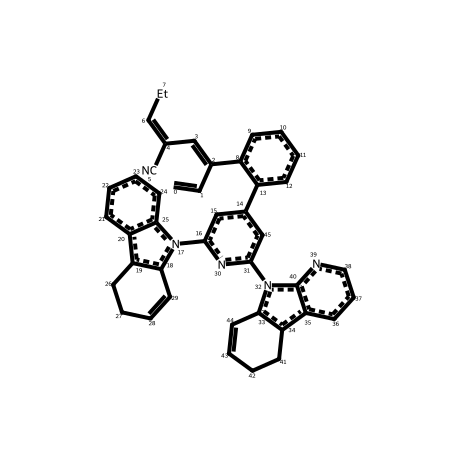 C=C/C(=C\C(C#N)=C/CC)c1ccccc1-c1cc(-n2c3c(c4ccccc42)CCC=C3)nc(-n2c3c(c4cccnc42)CCC=C3)c1